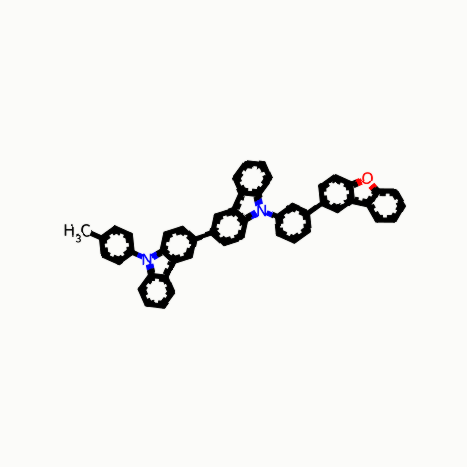 Cc1ccc(-n2c3ccccc3c3cc(-c4ccc5c(c4)c4ccccc4n5-c4cccc(-c5ccc6oc7ccccc7c6c5)c4)ccc32)cc1